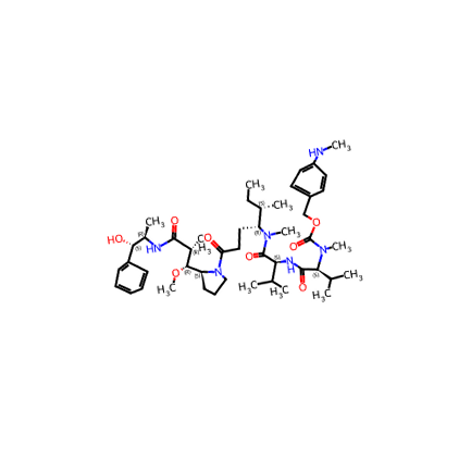 CC[C@H](C)[C@@H](CCC(=O)N1CCC[C@H]1[C@H](OC)[C@@H](C)C(=O)N[C@H](C)[C@@H](O)c1ccccc1)N(C)C(=O)[C@@H](NC(=O)[C@H](C(C)C)N(C)C(=O)OCc1ccc(NC)cc1)C(C)C